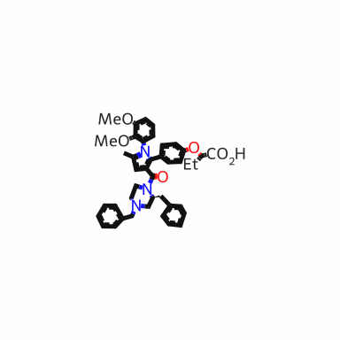 CCC(Oc1ccc(-c2c(C(=O)N3CCN(Cc4ccccc4)C[C@H]3Cc3ccccc3)cc(C)n2-c2cccc(OC)c2OC)cc1)C(=O)O